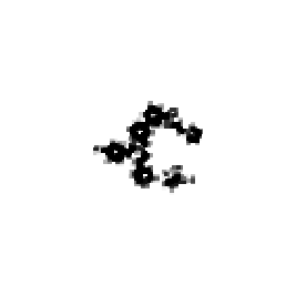 O=C(NCCN1CCCC1)c1cccc(-c2cccc(CN(CCc3ccncc3)C(=O)Cc3ccc(Br)cc3)c2)c1.O=C(O)C(F)(F)F